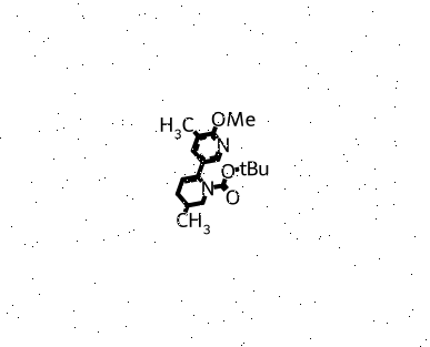 COc1ncc(C2=CCC(C)CN2C(=O)OC(C)(C)C)cc1C